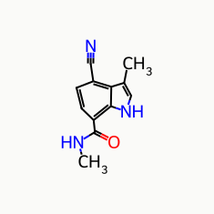 CNC(=O)c1ccc(C#N)c2c(C)c[nH]c12